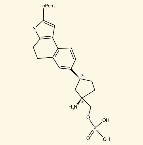 CCCCCc1cc2c(s1)CCc1cc([C@H]3CC[C@](N)(COP(=O)(O)O)C3)ccc1-2